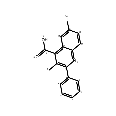 Cc1c(-c2ccccc2)nc2ccc(I)cc2c1C(=O)O